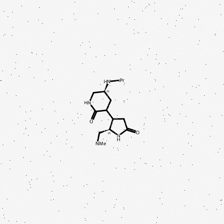 CNC[C@@H]1NC(=O)CC1C1C[C@H](NC(C)C)CNC1=O